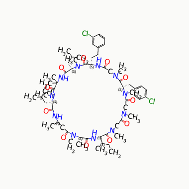 CC[C@H](C)[C@@H]1NC(=O)[C@H](C)N(C)C(=O)C[C@@H](C)NC(=O)[C@H](CC(C)C)N(C)C(=O)C(C)(C)NC(=O)[C@H](CC(C)C)N(C)C(=O)[C@H](CCc2cccc(Cl)c2)NC(=O)CN(C)C(=O)[C@H](Cc2ccc(Cl)cc2)N(C)C(=O)CN(C)C(=O)CN(C)C1=O